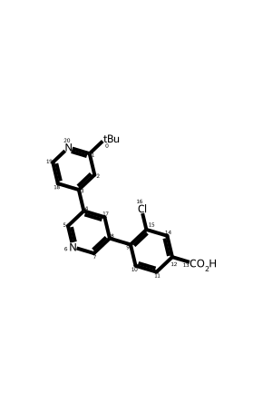 CC(C)(C)c1cc(-c2cncc(-c3ccc(C(=O)O)cc3Cl)c2)ccn1